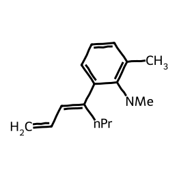 C=C/C=C(\CCC)c1cccc(C)c1NC